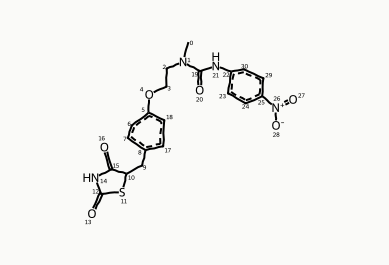 CN(CCOc1ccc(CC2SC(=O)NC2=O)cc1)C(=O)Nc1ccc([N+](=O)[O-])cc1